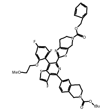 COCCOc1cc(F)cc(F)c1-c1c(-c2nc3c(s2)CN(C(=O)OCc2ccccc2)CC3)nc(-c2ccc3c(c2)CCN(C(=O)OC(C)(C)C)C3)c2c(F)csc12